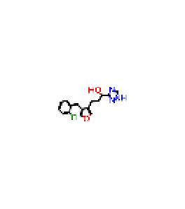 OC(CCc1cocc1Cc1ccccc1Cl)c1nc[nH]n1